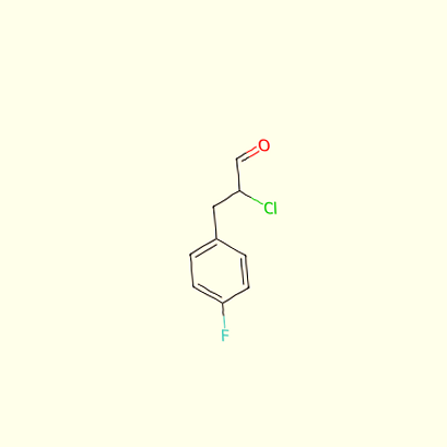 O=CC(Cl)Cc1ccc(F)cc1